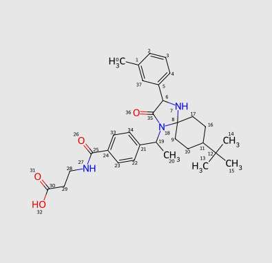 Cc1cccc(C2NC3(CCC(C(C)(C)C)CC3)N(C(C)c3ccc(C(=O)NCCC(=O)O)cc3)C2=O)c1